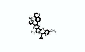 Cc1cnc(C(NC(=O)c2nc(-c3ccc4ncccc4c3)c(-c3ccn(C)n3)nc2N)C2CC2)nc1